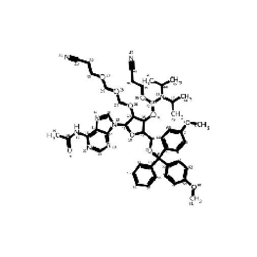 COc1ccc(C(OCC2OC(n3cnc4c(NC(C)=O)ncnc43)C(OCOCOCCC#N)C2OP(OCCC#N)N(C(C)C)C(C)C)(c2ccccc2)c2ccc(OC)cc2)cc1